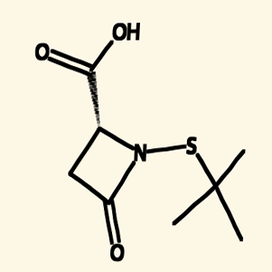 CC(C)(C)SN1C(=O)C[C@@H]1C(=O)O